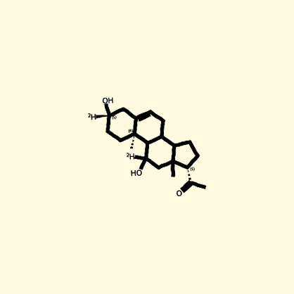 [2H]C1(O)CC2(C)C(CC[C@@H]2C(C)=O)C2CC=C3C[C@@]([2H])(O)CC[C@]3(C)C21